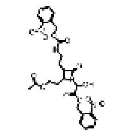 CC(=O)OCCC1C(CCNC(=O)OCc2ccccc2[N+](=O)[O-])C(=O)N1C(O)C(=O)OCc1ccccc1[N+](=O)[O-]